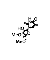 COC[C@H]1OC(n2cc(C)c(=O)[nH]c2=S)C(O)[C@H]1OC